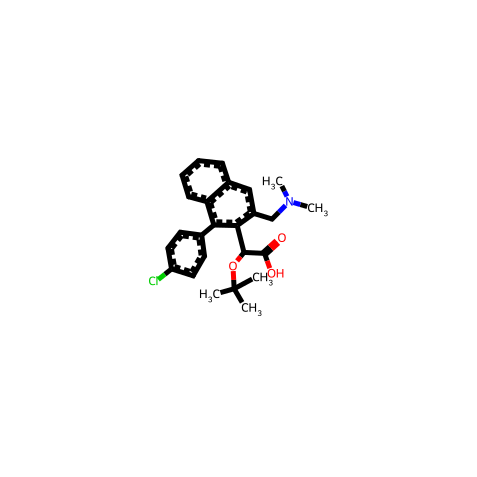 CN(C)Cc1cc2ccccc2c(-c2ccc(Cl)cc2)c1C(OC(C)(C)C)C(=O)O